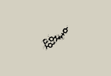 C[C@@H](c1ccc(C(F)(F)F)cc1)n1cc(-c2nc(C(C)(C)c3ccc(F)cc3)no2)c(=O)c2cc(F)c(N3CCOCC3)cc21